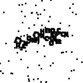 CCOC(=O)C(=C=c1sc(=C=CNc2cccc(NC(=O)CN(C)Cc3ccccc3)c2)c(=O)n1CC)C#N